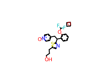 C1C2CC1O2.[O-][n+]1ccc(CC(c2ncc(CCCO)s2)c2ccccc2OC(F)F)cc1